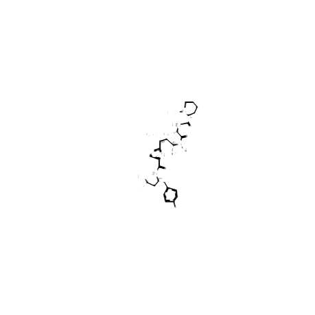 CCCN(C(=O)C(NC(=O)[C@H]1CCCCN1C)[C@@H](C)CC)[C@H](C[C@@H](OC(C)=O)c1nc(C(=O)N[C@@H](Cc2ccc(F)cc2)C[C@H](C)C(=O)O)cs1)C(C)C